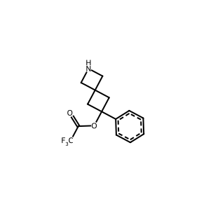 O=C(OC1(c2ccccc2)CC2(CNC2)C1)C(F)(F)F